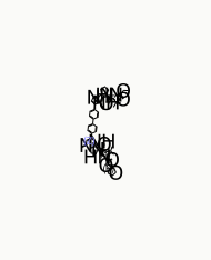 C=N/C=C(\NC1CCCN1C(=O)[C@@H](NC(=O)O[C@@H]1CCOC1)C(C)C)c1ccc(-c2ccc(-c3cnc(C4CCCN4C(=O)[C@@H](NC(=O)OC)C(C)C)[nH]3)cc2)cc1